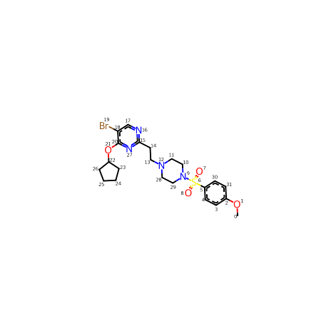 COc1ccc(S(=O)(=O)N2CCN(CCc3ncc(Br)c(OC4CCCC4)n3)CC2)cc1